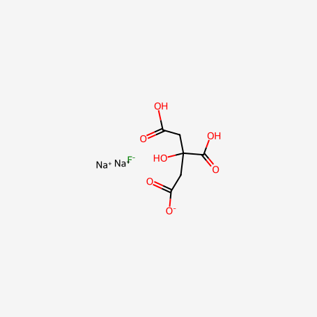 O=C([O-])CC(O)(CC(=O)O)C(=O)O.[F-].[Na+].[Na+]